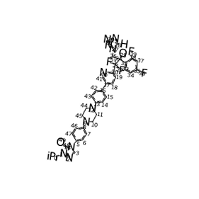 CC(C)n1ncn(-c2ccc(N3CCN(c4ccc(-c5ccc(C(F)(F)C(O)(Cn6cnnn6)c6ccc(F)cc6F)nc5)cc4)CC3)cc2)c1=O